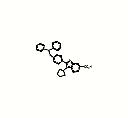 O=C(O)c1ccc2c(c1)nc(-c1ccc(OC(c3ccccc3)c3ccccc3)cc1)n2C1CCCC1